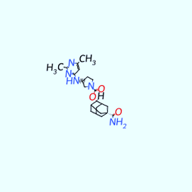 Cc1cc(N[C@@H]2CCN(C(=O)O[C@H]3C4CC5CC3C[C@](C(N)=O)(C5)C4)C2)nc(C)n1